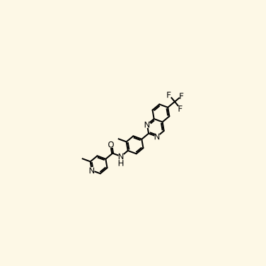 Cc1cc(C(=O)Nc2ccc(-c3ncc4cc(C(F)(F)F)ccc4n3)cc2C)ccn1